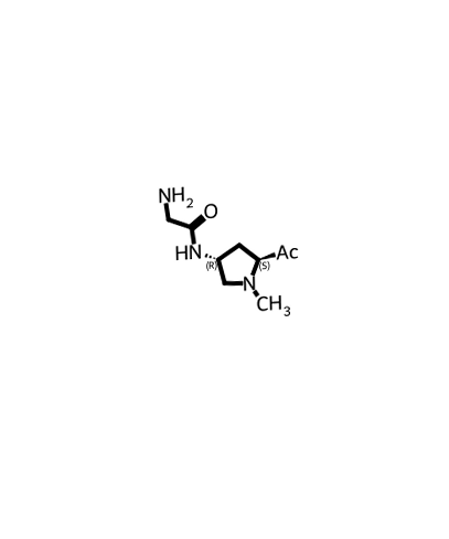 CC(=O)[C@@H]1C[C@@H](NC(=O)CN)CN1C